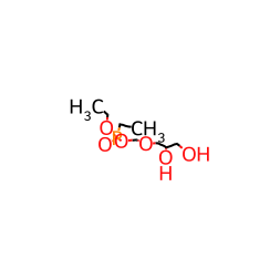 CCOP(=O)(CC)OCOCC(O)CO